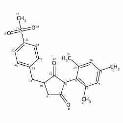 Cc1cc(C)c(C2C(=O)CC(Cc3ccc(S(C)(=O)=O)cc3)C2=O)c(C)c1